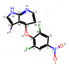 O=[N+]([O-])c1cc(F)c(Oc2ccnc3[nH]cc(I)c23)c(F)c1